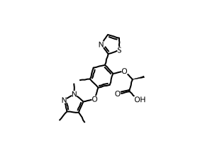 Cc1cc(-c2nccs2)c(O[C@@H](C)C(=O)O)cc1Oc1c(C)c(C)nn1C